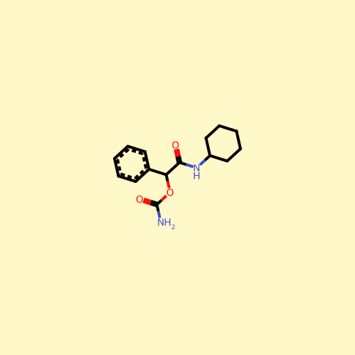 NC(=O)OC(C(=O)NC1CCCCC1)c1ccccc1